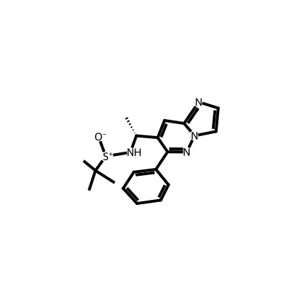 C[C@@H](N[S+]([O-])C(C)(C)C)c1cc2nccn2nc1-c1ccccc1